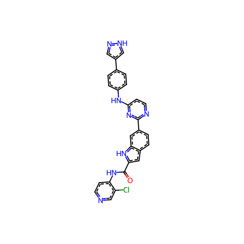 O=C(Nc1ccncc1Cl)c1cc2ccc(-c3nccc(Nc4ccc(-c5cn[nH]c5)cc4)n3)cc2[nH]1